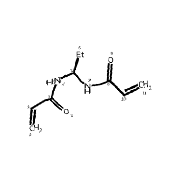 C=CC(=O)NC(CC)NC(=O)C=C